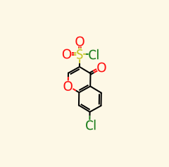 O=c1c(S(=O)(=O)Cl)coc2cc(Cl)ccc12